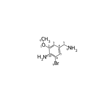 COc1cc(CN)cc(Br)c1N